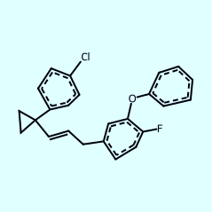 Fc1ccc(CC=CC2(c3ccc(Cl)cc3)CC2)cc1Oc1ccccc1